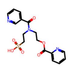 O=C(OCCN(CCS(=O)(=O)O)C(=O)c1cccnc1)c1ccccn1